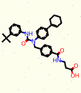 CC(C)(C)c1cccc(NC(=O)N(Cc2ccc(C(=O)NCCC(=O)O)cc2)c2ccc(C3=CCCCC3)cc2)c1